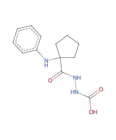 O=C(O)NNC(=O)C1(Nc2ccccc2)CCCC1